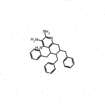 Nc1nc2c(c(N)c1N)C(Cc1ccccc1)C(Cc1ccccc1)C(Cc1ccccc1)C2